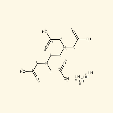 O=C(O)CN(CCN(CC(=O)O)CC(=O)O)CC(=O)O.[LiH].[LiH].[LiH].[LiH]